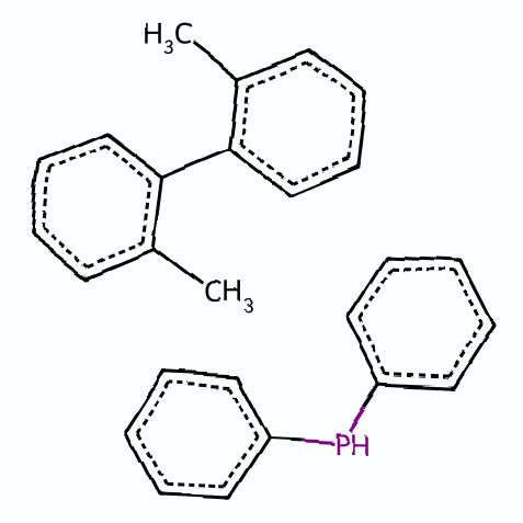 Cc1ccccc1-c1ccccc1C.c1ccc(Pc2ccccc2)cc1